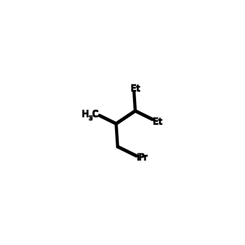 [CH2]C(C)CC(C)C(CC)CC